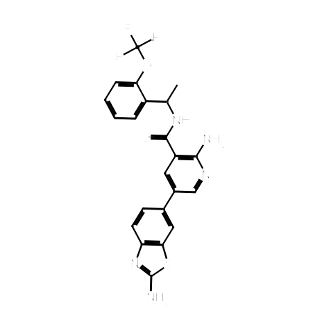 CC(NC(=O)c1cc(-c2ccc3nc(N)sc3c2)cnc1N)c1ccccc1OC(F)(F)F